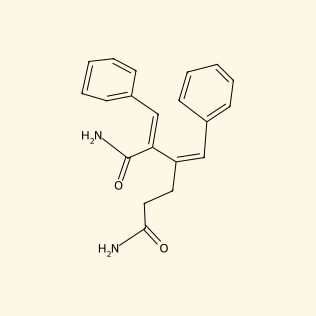 NC(=O)CCC(=Cc1ccccc1)C(=Cc1ccccc1)C(N)=O